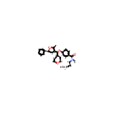 CC1OC(c2ccccc2)CC1C(Oc1ccc(C(=O)N(C)CCC(=O)O)cc1)C1CCOCC1